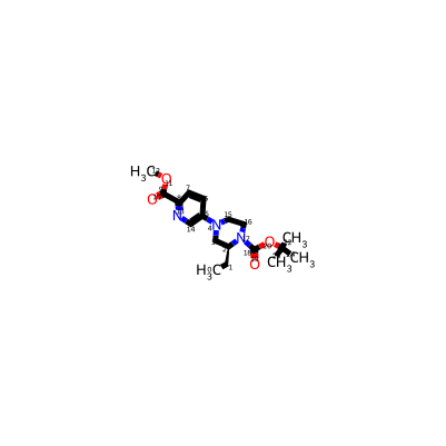 CC[C@H]1CN(c2ccc(C(=O)OC)nc2)CCN1C(=O)OC(C)(C)C